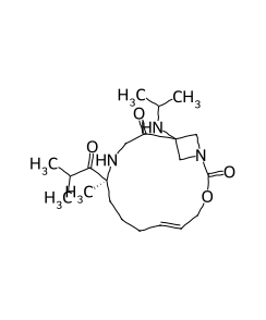 CC(C)NC12CN(C1)C(=O)OC/C=C/CCC[C@@](C)(C(=O)C(C)C)NCC2=O